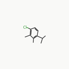 Cc1c(Cl)ccc(C(C)C)c1C